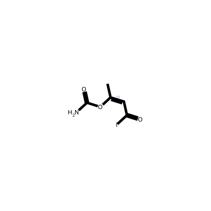 C/C(=C/C(=O)I)OC(N)=O